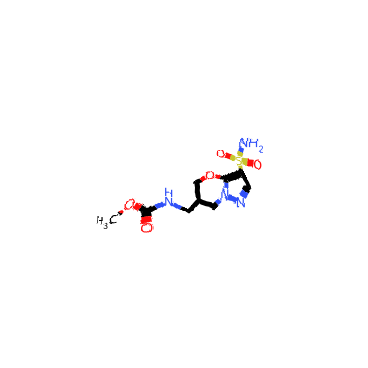 COC(=O)NCC1COc2c(S(N)(=O)=O)cnn2C1